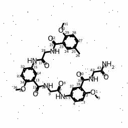 COc1ccc(NC(=O)CNC(=O)c2cc(NC(=O)CNC(=O)c3cc(C)ccc3OC)ccc2OC)cc1C(=O)NCC(N)=O